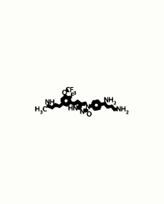 C[C@H](N)CCCc1cc(OC(F)(F)F)c(F)c(-c2cc3cn(-c4ccc([C@@H](N)CCCN)cc4)c(=O)nc3[nH]2)c1